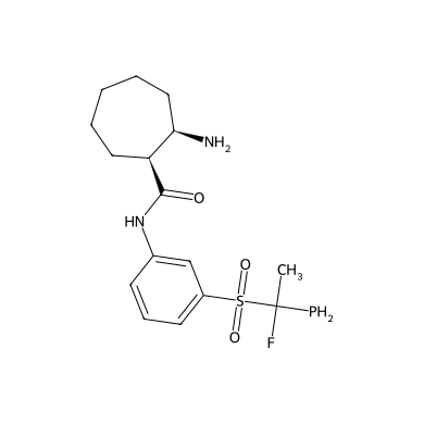 CC(F)(P)S(=O)(=O)c1cccc(NC(=O)[C@H]2CCCCC[C@H]2N)c1